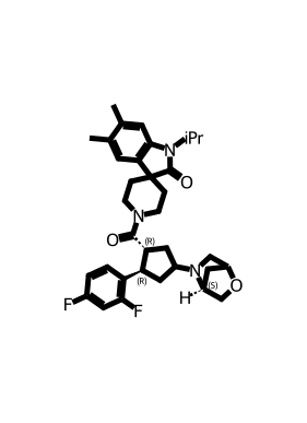 Cc1cc2c(cc1C)C1(CCN(C(=O)[C@@H]3CC(N4CC5C[C@H]4CO5)C[C@H]3c3ccc(F)cc3F)CC1)C(=O)N2C(C)C